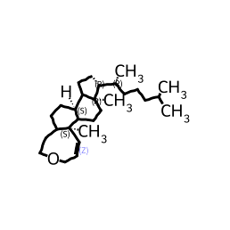 CC(C)CCC[C@@H](C)[C@H]1CCC2[C@@H]3CCC4CCOC/C=C\[C@]4(C)C3CC[C@@]21C